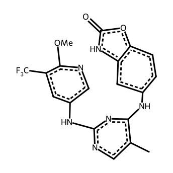 COc1ncc(Nc2ncc(C)c(Nc3ccc4oc(=O)[nH]c4c3)n2)cc1C(F)(F)F